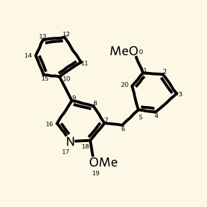 COc1cccc(Cc2cc(-c3ccccc3)cnc2OC)c1